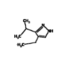 [CH2]Cc1c[nH]nc1C(C)C